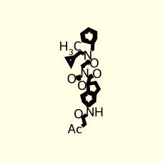 CC(=O)CC(=O)Nc1ccc2c(c1)CCC21OC(=O)N(CC(=O)N(Cc2ccccc2)C(C)C2CC2)C1=O